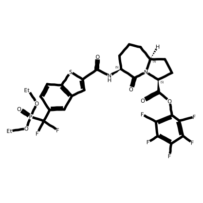 CCOP(=O)(OCC)C(F)(F)c1ccc2sc(C(=O)N[C@H]3CCC[C@H]4CC[C@@H](C(=O)Oc5c(F)c(F)c(F)c(F)c5F)N4C3=O)cc2c1